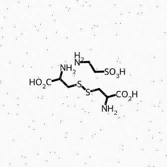 NC(CSSCC(N)C(=O)O)C(=O)O.NCCS(=O)(=O)O